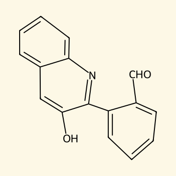 O=Cc1ccccc1-c1nc2ccccc2cc1O